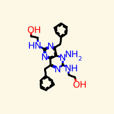 NN1c2c(Cc3ccccc3)nc(NCCO)nc2C(Cc2ccccc2)=NC1NCCO